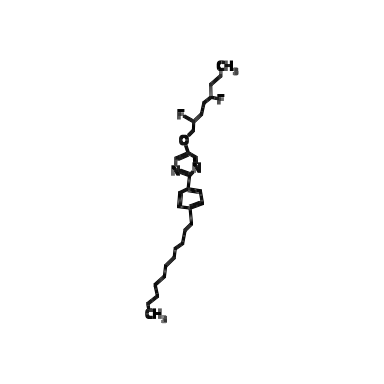 CCCCCCCCCCCc1ccc(-c2ncc(OCC(F)CCC(F)CCC)cn2)cc1